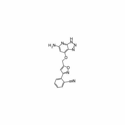 N#Cc1ccccc1-c1cc(COc2cc(N)nc3[nH]nnc23)on1